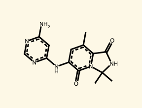 Cc1cc(Nc2cc(N)ncn2)c(=O)n2c1C(=O)NC2(C)C